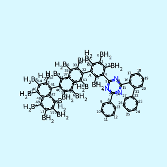 Bc1c(B)c(-c2nc(-c3ccccc3)nc(-c3ccccc3-c3ccccc3)n2)c(B)c(-c2c(B)c(B)c3c(B)c(-c4c(B)c(B)c(B)c5c(B)c(B)c(B)c(B)c45)c(B)c(B)c3c2B)c1B